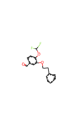 O=Cc1ccc(OC(F)F)c(OCCc2ccccc2)c1